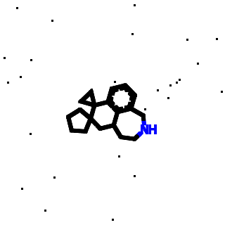 c1cc2c3c(c1)C1(CC1)C1(CCCC1)CC3CCNC2